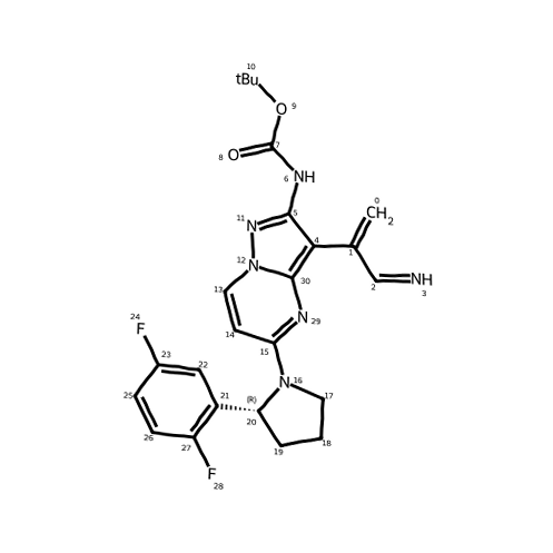 C=C(C=N)c1c(NC(=O)OC(C)(C)C)nn2ccc(N3CCC[C@@H]3c3cc(F)ccc3F)nc12